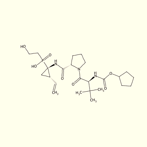 C=C[C@@H]1C[C@]1(NC(=O)[C@@H]1CCCN1C(=O)[C@@H](NC(=O)OC1CCCC1)C(C)(C)C)P(=O)(O)CCO